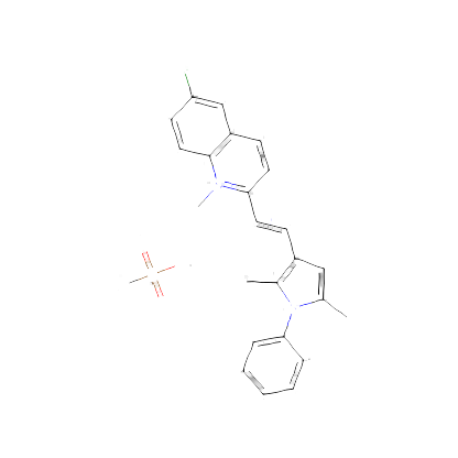 Cc1cc(/C=C/c2ccc3cc(Br)ccc3[n+]2C)c(C)n1-c1ccccc1.O=S(=O)([O-])C(F)(F)F